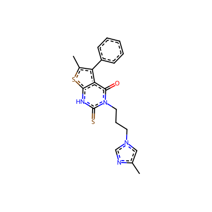 Cc1cn(CCCn2c(=S)[nH]c3sc(C)c(-c4ccccc4)c3c2=O)cn1